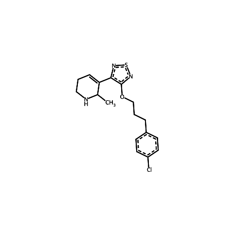 CC1NCCC=C1c1nsnc1OCCCc1ccc(Cl)cc1